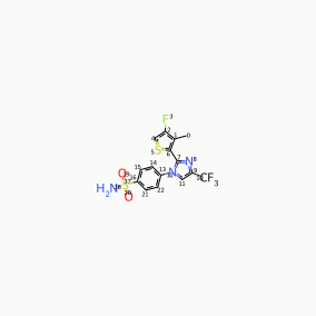 Cc1c(F)csc1-c1nc(C(F)(F)F)cn1-c1ccc(S(N)(=O)=O)cc1